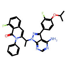 CC(C)Oc1ccc(-c2nn(C(C)c3cc4cccc(F)c4c(=O)n3-c3ccccc3)c3ncnc(N)c23)cc1F